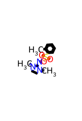 Cc1ccccc1S(=O)(=O)ON=C1N(C)CCN1C